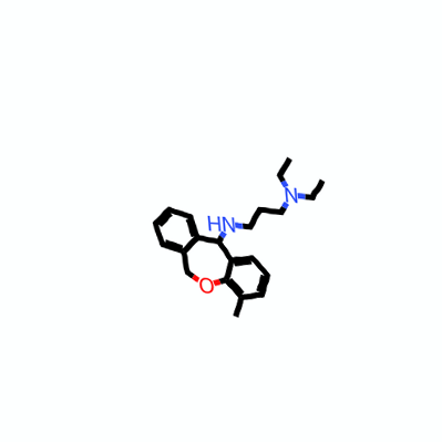 CCN(CC)CCCNC1c2ccccc2COc2c(C)cccc21